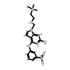 C[Si](C)(C)CCOCn1ccc2c(Oc3cccc([N+](=O)[O-])c3)nc(Cl)nc21